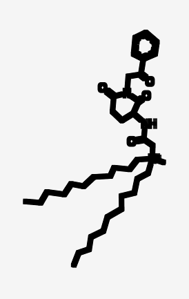 CCCCCCCCCCC[N+](C)(CCCCCCCCCCC)CC(=O)NC1CCC(=O)N(CC(=O)c2ccccc2)C1=O